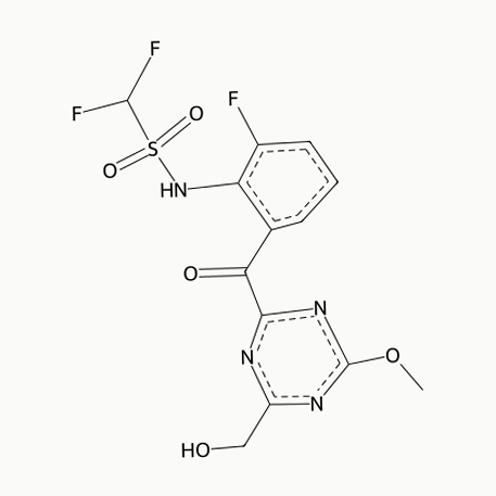 COc1nc(CO)nc(C(=O)c2cccc(F)c2NS(=O)(=O)C(F)F)n1